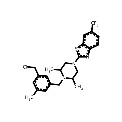 Cc1cc(CCl)cc(CN2C(C)CN(c3nc4ccc(C(F)(F)F)cc4s3)CC2C)c1